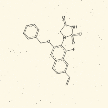 C=Cc1ccc2cc(OCc3ccccc3)c(N3CC(=O)NS3(=O)=O)c(F)c2c1